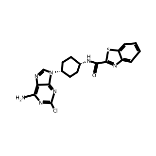 Nc1nc(Cl)nc2c1ncn2[C@H]1CC[C@@H](NC(=O)c2nc3ccccc3s2)CC1